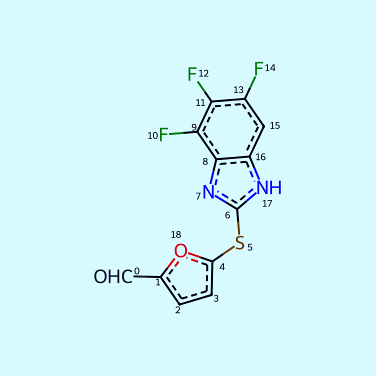 O=Cc1ccc(Sc2nc3c(F)c(F)c(F)cc3[nH]2)o1